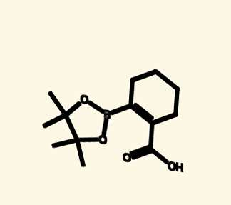 CC1(C)OB(C2=C(C(=O)O)CCCC2)OC1(C)C